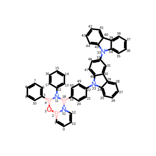 C1=CB2OB(c3ccccc3)N(c3ccccc3)B(c3ccc(-n4c5ccccc5c5cc(-n6c7ccccc7c7ccccc76)ccc54)cc3)N2C=C1